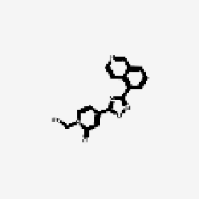 CC(C)Cn1ccc(-c2nc(-c3cccc4cnccc34)no2)cc1=O